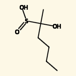 CCCCC(C)(O)S(=O)O